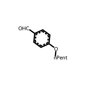 CCCCCOc1ccc(C=O)cc1